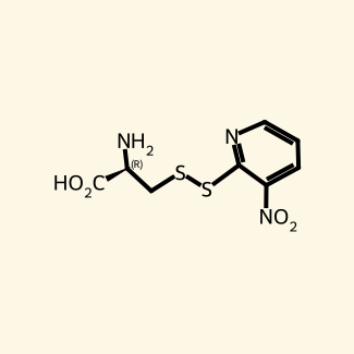 N[C@@H](CSSc1ncccc1[N+](=O)[O-])C(=O)O